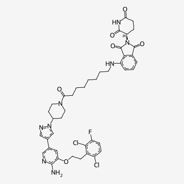 Nc1ncc(-c2cnn(C3CCN(C(=O)CCCCCCCNc4cccc5c4C(=O)N([C@@H]4CCC(=O)NC4=O)C5=O)CC3)c2)cc1OCCc1c(Cl)ccc(F)c1Cl